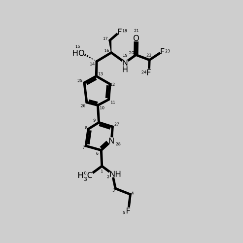 CC(NCCF)c1ccc(-c2ccc([C@H](O)[C@@H](CF)NC(=O)C(F)F)cc2)cn1